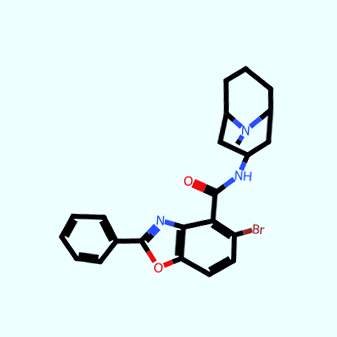 CN1C2CCCC1CC(NC(=O)c1c(Br)ccc3oc(-c4ccccc4)nc13)C2